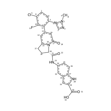 Cn1ncn1-c1ccc(Cl)c(F)c1-c1cc2n(c(=O)c1)[C@H](C(=O)Nc1ccc3[nH]c(C(=O)O)cc3c1)CC2